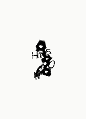 Cc1ccccc1C(=S)Nc1ccc(C(=O)N2CCc3nncn3-c3ccccc32)cc1